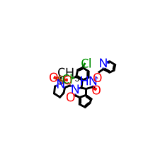 CS(=O)(=O)N1CCCCC1CN1C(=O)c2ccccc2C(C(=O)NOCc2ccccn2)C1c1ccc(Cl)cc1Cl